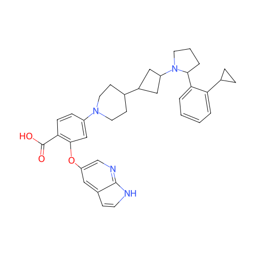 O=C(O)c1ccc(N2CCC(C3CC(N4CCCC4c4ccccc4C4CC4)C3)CC2)cc1Oc1cnc2[nH]ccc2c1